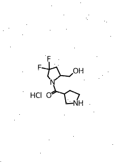 Cl.O=C(C1CCNC1)N1CC(F)(F)CC1CO